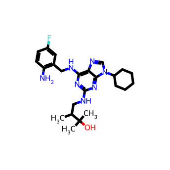 CC(CNc1nc(NCc2cc(F)ccc2N)c2ncn(C3CCCCC3)c2n1)C(C)(C)O